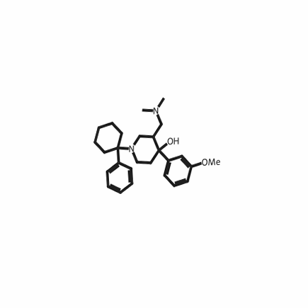 COc1cccc(C2(O)CCN(C3(c4ccccc4)CCCCC3)CC2CN(C)C)c1